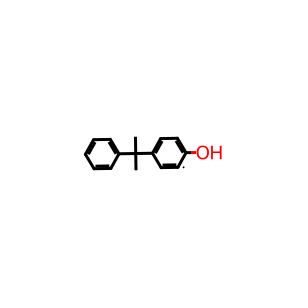 CC(C)(c1c[c]c(O)cc1)c1ccccc1